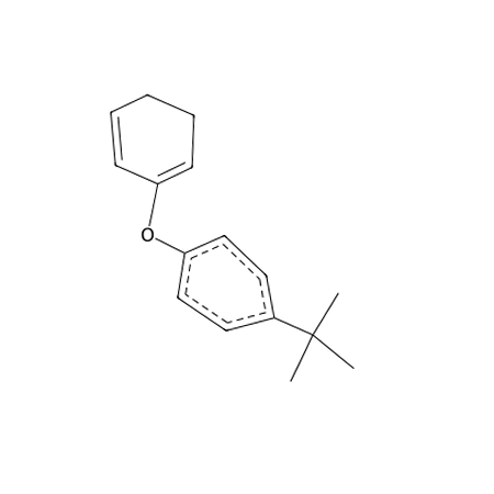 CC(C)(C)c1ccc(OC2=CCCC=C2)cc1